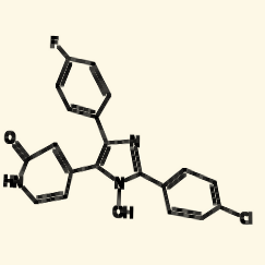 O=c1cc(-c2c(-c3ccc(F)cc3)nc(-c3ccc(Cl)cc3)n2O)cc[nH]1